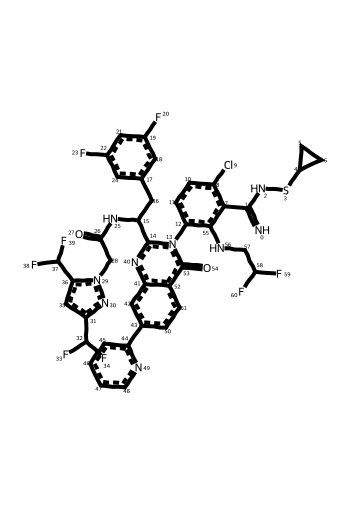 N=C(NSC1CC1)c1c(Cl)ccc(-n2c(C(Cc3cc(F)cc(F)c3)NC(=O)Cn3nc(C(F)F)cc3C(F)F)nc3cc(-c4ccccn4)ccc3c2=O)c1NCC(F)F